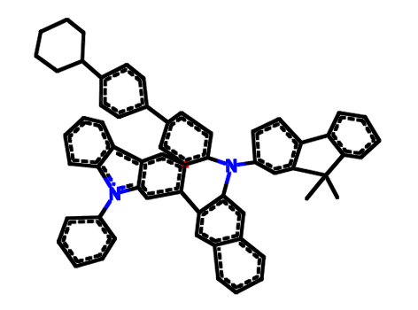 CC1(C)c2ccccc2-c2ccc(N(c3ccc(-c4ccc(C5CCCCC5)cc4)cc3)c3cc4ccccc4cc3-c3ccc4c5ccccc5n(-c5ccccc5)c4c3)cc21